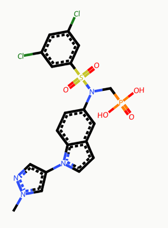 Cn1cc(-n2ccc3cc(N(CP(=O)(O)O)S(=O)(=O)c4cc(Cl)cc(Cl)c4)ccc32)cn1